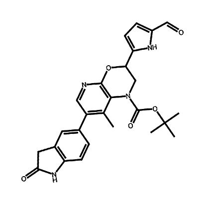 Cc1c(-c2ccc3c(c2)CC(=O)N3)cnc2c1N(C(=O)OC(C)(C)C)CC(c1ccc(C=O)[nH]1)O2